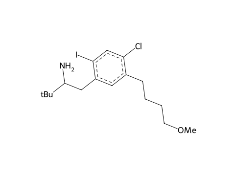 COCCCCc1cc(CC(N)C(C)(C)C)c(I)cc1Cl